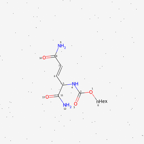 CCCCCCOC(=O)NC(/C=C/C(N)=O)C(N)=O